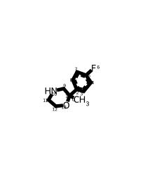 CC1(c2ccc(F)cc2)CNCCO1